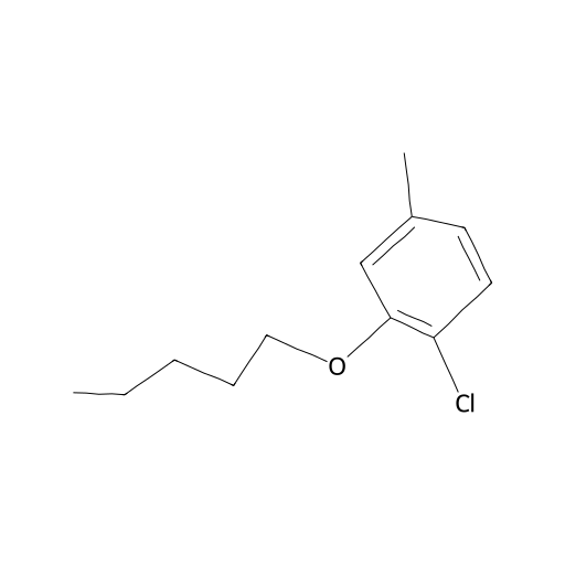 CCCCCOc1cc(C)ccc1Cl